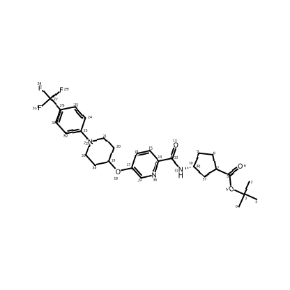 CC(C)(C)OC(=O)C1CC[C@@H](NC(=O)c2ccc(OC3CCN(c4ccc(C(F)(F)F)cc4)CC3)cn2)C1